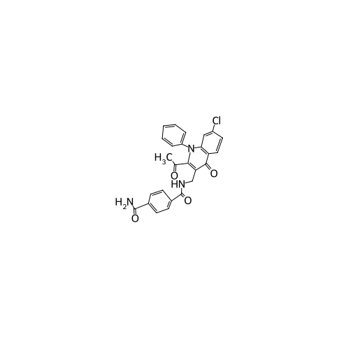 CC(=O)c1c(CNC(=O)c2ccc(C(N)=O)cc2)c(=O)c2ccc(Cl)cc2n1-c1ccccc1